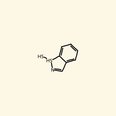 S[SH]1N=Cc2ccccc21